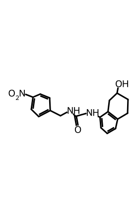 O=C(NCc1ccc([N+](=O)[O-])cc1)Nc1cccc2c1CC(O)CC2